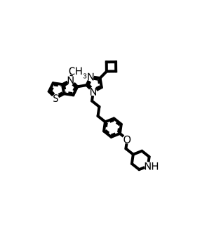 Cn1c(-c2nc(C3CCC3)cn2CCCc2ccc(OCC3CCNCC3)cc2)cc2sccc21